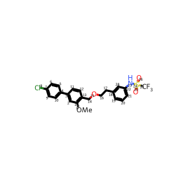 COc1cc(-c2ccc(Cl)cc2)ccc1COCCc1cccc(NS(=O)(=O)C(F)(F)F)c1